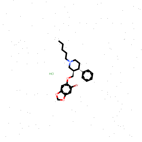 CCCCCN1CC[C@H](c2ccccc2)[C@@H](COc2cc3c(cc2Br)OCO3)C1.Cl